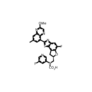 COc1cnc2c(-c3nc4cc(F)c5c(c4s3)C[C@H](CN(C(=O)O)c3cncc(F)c3)O5)cc(C)cc2n1